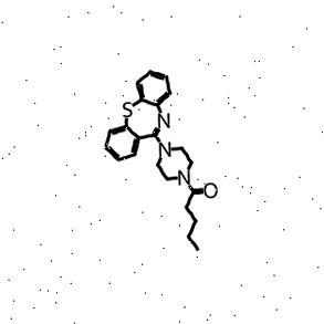 CCCCC(=O)N1CCN(C2=Nc3ccccc3Sc3ccccc32)CC1